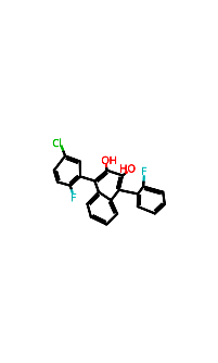 Oc1c(O)c(-c2cc(Cl)ccc2F)c2ccccc2c1-c1ccccc1F